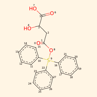 O=C(CC(O)C(=O)O)OS(c1ccccc1)(c1ccccc1)c1ccccc1